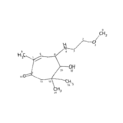 COCCNC1C=C(C)C(=O)CC(C)(C)C1O